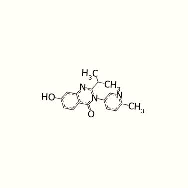 Cc1ccc(-n2c(C(C)C)nc3cc(O)ccc3c2=O)cn1